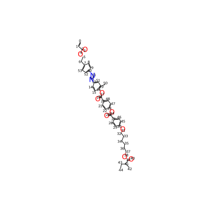 C=CC(=O)OCCc1ccc(/N=N/c2ccc(OC(=O)c3ccc(OC(=O)c4ccc(OCCCCCCOC(=O)C(C)CC)cc4)cc3)c(C)c2)cc1